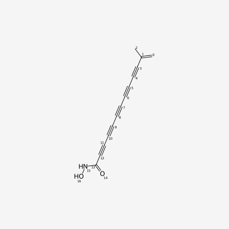 C=C(C)C#CC#CC#CC#CC#CC(=O)NO